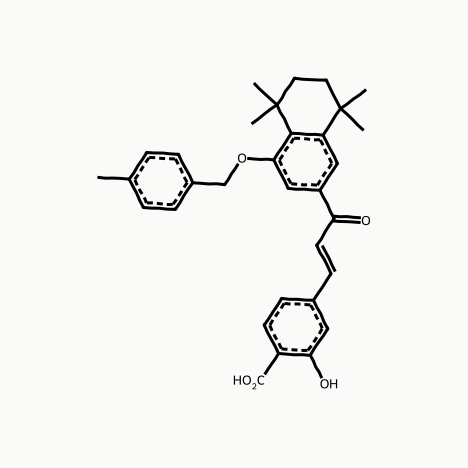 Cc1ccc(COc2cc(C(=O)C=Cc3ccc(C(=O)O)c(O)c3)cc3c2C(C)(C)CCC3(C)C)cc1